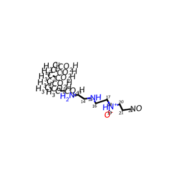 CC(=O)O.CC(=O)O.CC(=O)O.CC(=O)O.CC(=O)O.CC(=O)O.NCCNCC[NH+]([O-])CCN=O